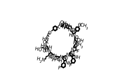 COc1ccc(C[C@@H]2NC(=O)[C@H]([C@@H](C)O)NC(=O)[C@@H]3C[C@H](F)CN3C(=O)[C@H](Cc3c[nH]c4ccc(F)cc34)NC(=O)[C@H](Cc3c[nH]c4ccc(F)cc34)NC(=O)[C@@H](C)NC(=O)[C@H](CCCCN)NC(=O)[C@@H](NC(=O)CO)CC(=O)NCCOc3ccc(cc3)C[C@@H](C(N)=O)NC(=O)[C@]3(C)CCCN3C2=O)cc1